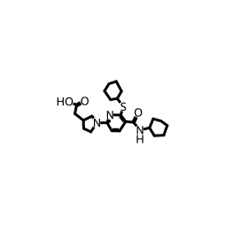 O=C(O)CC1CCN(c2ccc(C(=O)NC3CCCCC3)c(SC3CCCCC3)n2)C1